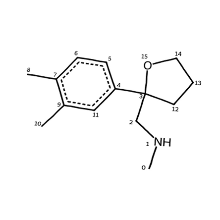 CNCC1(c2ccc(C)c(C)c2)CCCO1